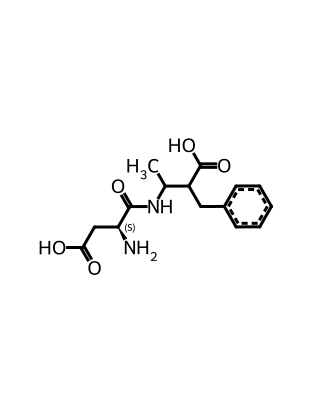 CC(NC(=O)[C@@H](N)CC(=O)O)C(Cc1ccccc1)C(=O)O